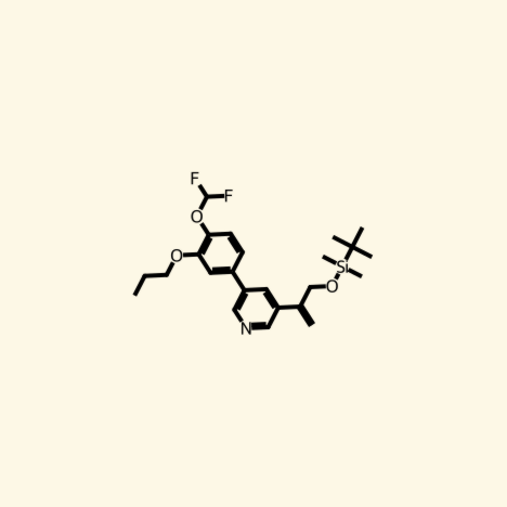 C=C(CO[Si](C)(C)C(C)(C)C)c1cncc(-c2ccc(OC(F)F)c(OCCC)c2)c1